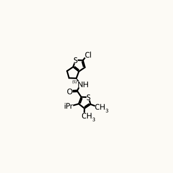 Cc1sc(C(=O)N[C@H]2CCc3sc(Cl)cc32)c(C(C)C)c1C